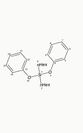 CCCCCC[Si](CCCCCC)(Oc1ccccc1)Oc1ccccc1